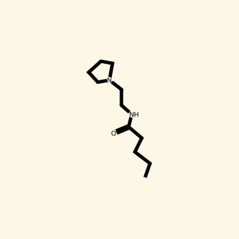 CCCCC(=O)NCCN1CCCC1